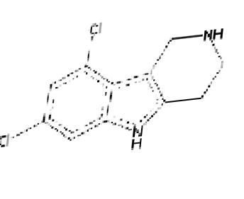 Clc1cc(Cl)c2c3c([nH]c2c1)CCNC3